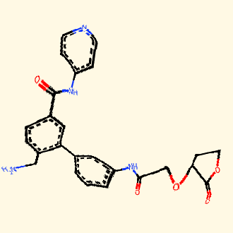 NCc1ccc(C(=O)Nc2ccncc2)cc1-c1cccc(NC(=O)COC2CCOC2=O)c1